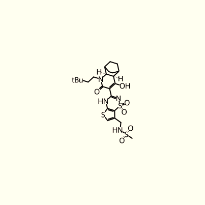 CC(C)(C)CCN1C(=O)C(C2=NS(=O)(=O)c3c(CNS(C)(=O)=O)csc3N2)=C(O)[C@@H]2C3CCC(CC3)[C@@H]21